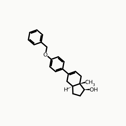 C[C@]12CC=C(c3ccc(OCc4ccccc4)cc3)C[C@@H]1CC[C@@H]2O